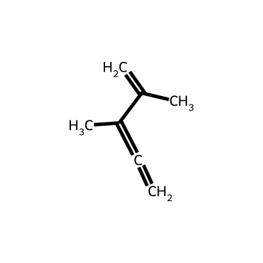 C=C=C(C)C(=C)C